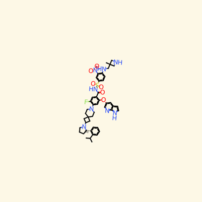 CC(C)c1ccccc1[C@@H]1CCCN1C1CC2(CCN(c3cc(Oc4cnc5[nH]ccc5c4)c(C(=O)NS(=O)(=O)c4ccc(NCC5(C)CNC5)c([N+](=O)[O-])c4)cc3F)CC2)C1